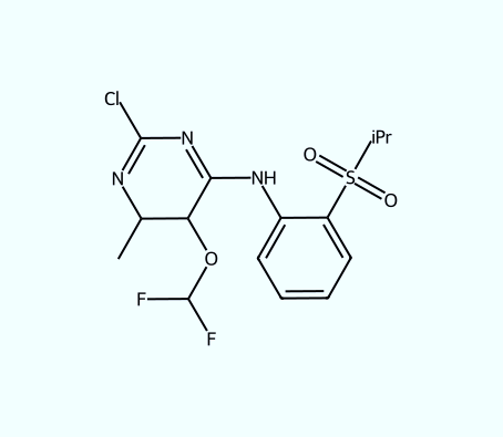 CC1N=C(Cl)N=C(Nc2ccccc2S(=O)(=O)C(C)C)C1OC(F)F